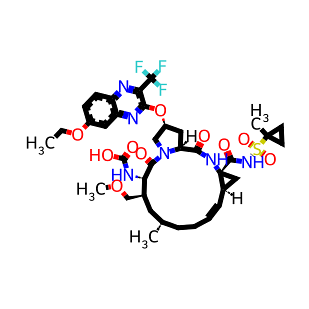 CCOc1ccc2nc(C(F)(F)F)c(O[C@@H]3C[C@H]4C(=O)N[C@]5(C(=O)NS(=O)(=O)C6(C)CC6)C[C@H]5C=CCC[C@H](C)C[C@@H](COC)[C@H](NC(=O)O)C(=O)N4C3)nc2c1